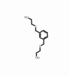 OCCSCc1cccc(CSCCO)c1